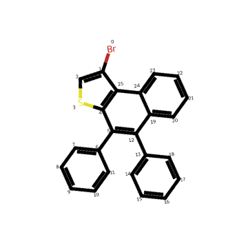 Brc1csc2c(-c3ccccc3)c(-c3ccccc3)c3ccccc3c12